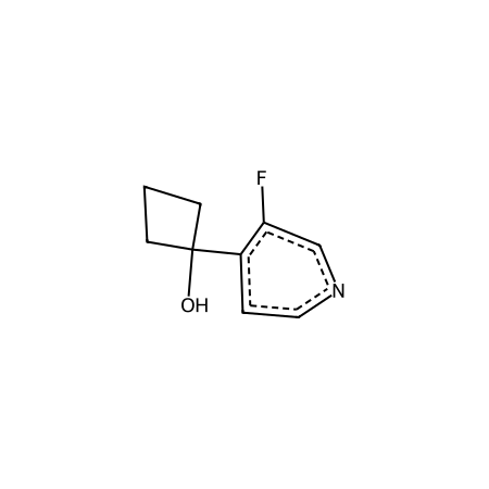 OC1(c2ccncc2F)CCC1